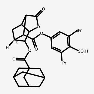 CC(C)c1cc(OC(=O)C2C3C(=O)OC4C3C[C@H]2C4OC(=O)C23CC4CC(CC(C4)C2)C3)cc(C(C)C)c1S(=O)(=O)O